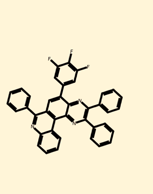 Fc1cc(-c2cc3c(-c4ccccc4)nc4ccccc4c3c3nc(-c4ccccc4)c(-c4ccccc4)nc23)cc(F)c1F